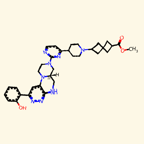 COC(=O)C1CC2(C1)CC(N1CCC(c3ccnc(N4CCN5c6cc(-c7ccccc7O)nnc6NC[C@H]5C4)n3)CC1)C2